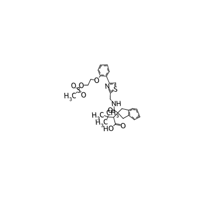 CC(C)(C)C(C(=O)O)C1(C(=O)NCc2nc(-c3ccccc3OCCOS(C)(=O)=O)cs2)Cc2ccccc2C1